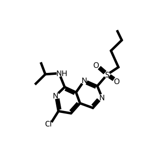 CCCCS(=O)(=O)c1ncc2cc(Cl)nc(NC(C)C)c2n1